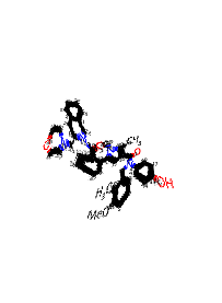 COc1cccc(CN(C(=O)c2cc(-c3ccccc3C(=O)N3Cc4ccccc4C[C@H]3CN3CCOCC3)n(C)c2C)c2ccc(O)cc2)c1C